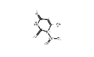 O=c1ccn([N+](=O)[O-])c(=O)[nH]1.[Co]